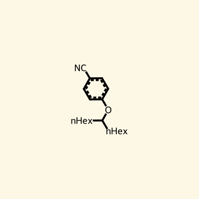 CCCCCCC(CCCCCC)Oc1ccc(C#N)cc1